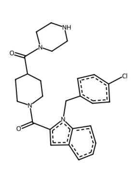 O=C(c1cc2ccccc2n1Cc1ccc(Cl)cc1)N1CCC(C(=O)N2CCNCC2)CC1